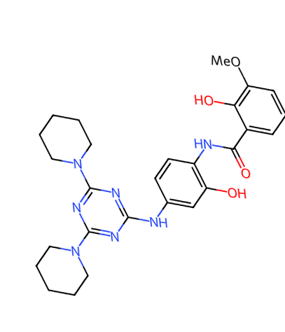 COc1cccc(C(=O)Nc2ccc(Nc3nc(N4CCCCC4)nc(N4CCCCC4)n3)cc2O)c1O